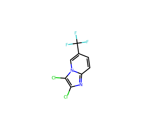 FC(F)(F)c1ccc2nc(Cl)c(Cl)n2c1